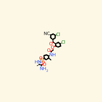 Cc1cc(S(=O)(=O)N[C@H](C)C(N)=O)ccc1NC(=O)COc1ccc(Cl)cc1C(=O)c1cc(Cl)cc(C#N)c1